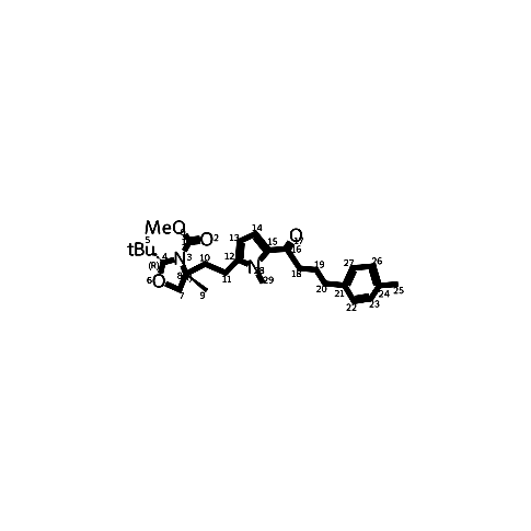 COC(=O)N1[C@@H](C(C)(C)C)OC[C@@]1(C)CCc1ccc(C(=O)CCCc2ccc(C)cc2)n1C